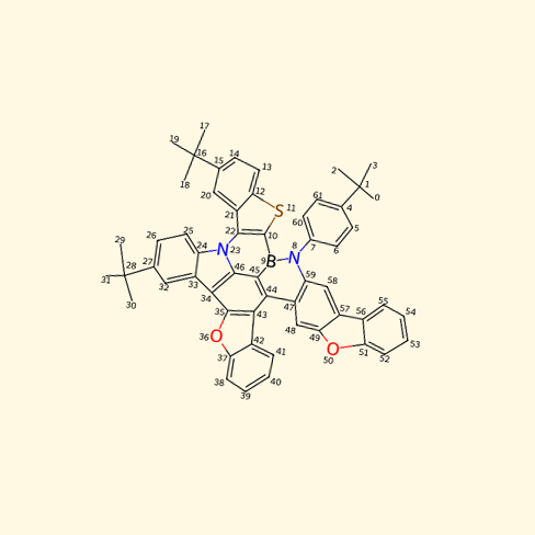 CC(C)(C)c1ccc(N2B3c4sc5ccc(C(C)(C)C)cc5c4-n4c5ccc(C(C)(C)C)cc5c5c6oc7ccccc7c6c(c3c54)-c3cc4oc5ccccc5c4cc32)cc1